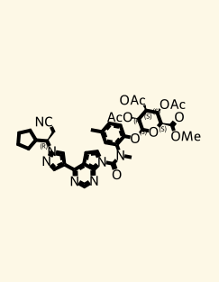 COC(=O)[C@H]1O[C@@H](Oc2ccc(C)cc2N(C)C(=O)n2ccc3c(-c4cnn([C@H](CC#N)C5CCCC5)c4)ncnc32)[C@H](OC(C)=O)[C@@H](OC(C)=O)[C@@H]1OC(C)=O